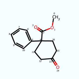 COC(=O)C1(c2ccccc2)CCC(=O)CC1